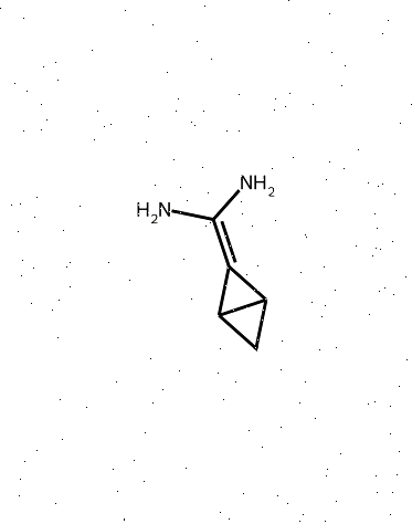 NC(N)=C1C2CC12